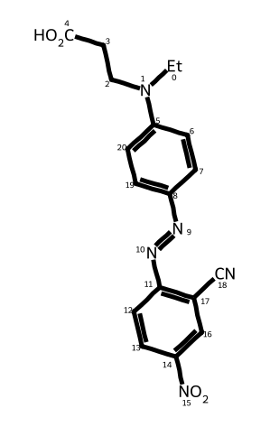 CCN(CCC(=O)O)c1ccc(N=Nc2ccc([N+](=O)[O-])cc2C#N)cc1